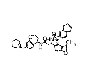 Cc1coc2ccc(C(CC(=O)NC3CCOc4cc(CN5CCCCC5)ccc43)NS(=O)(=O)c3ccc4ccccc4c3)cc12